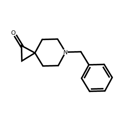 O=C1CC12CCN(Cc1ccccc1)CC2